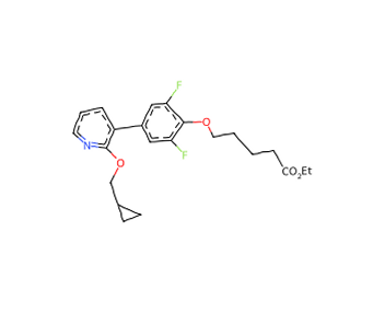 CCOC(=O)CCCCOc1c(F)cc(-c2cccnc2OCC2CC2)cc1F